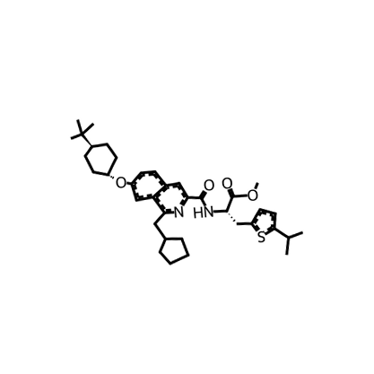 COC(=O)[C@H](Cc1ccc(C(C)C)s1)NC(=O)c1cc2ccc(O[C@H]3CC[C@H](C(C)(C)C)CC3)cc2c(CC2CCCC2)n1